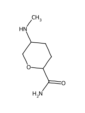 CNC1CCC(C(N)=O)OC1